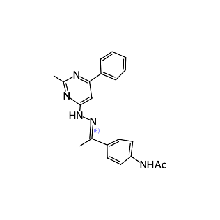 CC(=O)Nc1ccc(/C(C)=N/Nc2cc(-c3ccccc3)nc(C)n2)cc1